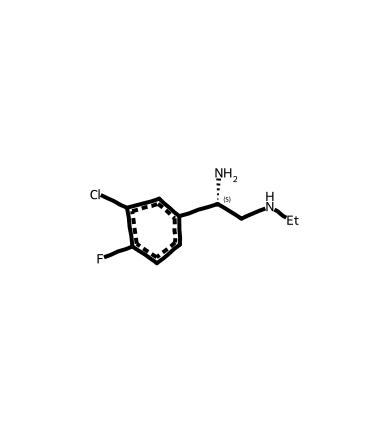 CCNC[C@@H](N)c1ccc(F)c(Cl)c1